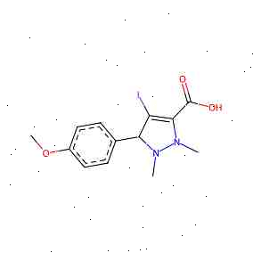 COc1ccc(C2C(I)=C(C(=O)O)N(C)N2C)cc1